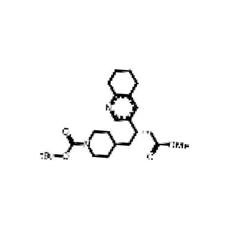 COC(=O)C[C@H](CC1CCN(C(=O)OC(C)(C)C)CC1)c1cnc2c(c1)CCCC2